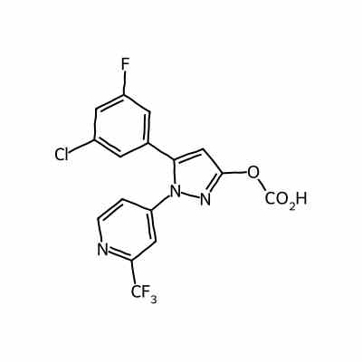 O=C(O)Oc1cc(-c2cc(F)cc(Cl)c2)n(-c2ccnc(C(F)(F)F)c2)n1